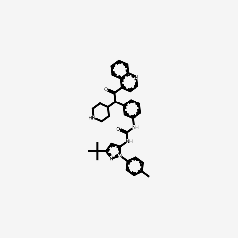 Cc1ccc(-n2nc(C(C)(C)C)cc2NC(=O)Nc2cccc(C(C(=O)c3ccnc4ccccc34)C3CCNCC3)c2)cc1